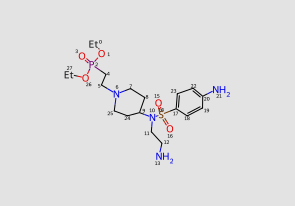 CCOP(=O)(CCN1CCC(N(CCN)S(=O)(=O)c2ccc(N)cc2)CC1)OCC